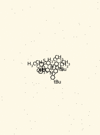 Cc1cc2c(cc1N1B3c4c(cc5c(oc6ccccc65)c4-c4c1ccc1sc5cc6c(cc5c41)C(C)(C)CCC6(C)C)-n1c4ccc(C(C)(C)C)cc4c4cc(C(C)(C)C)cc3c41)C(C)(C)CCC2(C)C